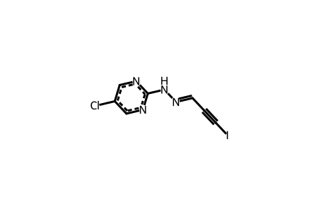 Clc1cnc(NN=CC#CI)nc1